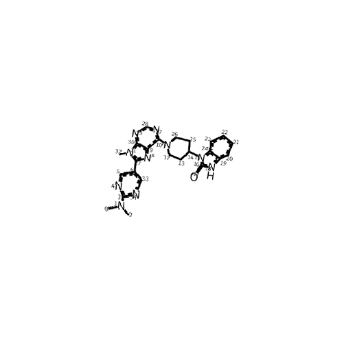 CN(C)c1ncc(-c2nc3c(N4CCC(n5c(=O)[nH]c6ccccc65)CC4)ncnc3n2C)cn1